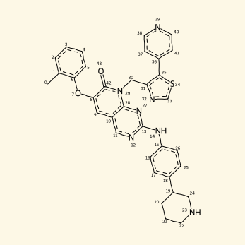 Cc1ccccc1Oc1cc2cnc(Nc3ccc(C4CCCNC4)cc3)nc2n(Cc2ncsc2-c2ccncc2)c1=O